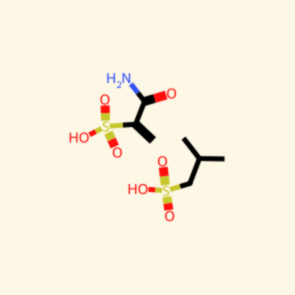 C=C(C(N)=O)S(=O)(=O)O.CC(C)CS(=O)(=O)O